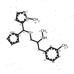 CNC(COC(c1cccs1)c1ccnn1C)Cc1cccc(C)c1